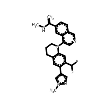 C=C(NC)c1ccc2cncc(N3CCCc4cc(-c5cnn(C)c5)c(C(F)F)cc43)c2c1